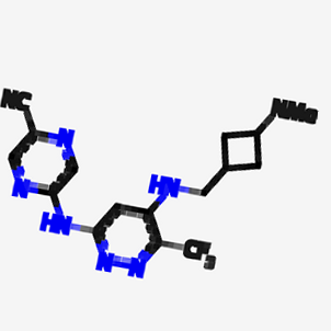 CNC1CC(CNc2cc(Nc3cnc(C#N)cn3)nnc2C(F)(F)F)C1